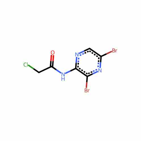 O=C(CCl)Nc1ncc(Br)nc1Br